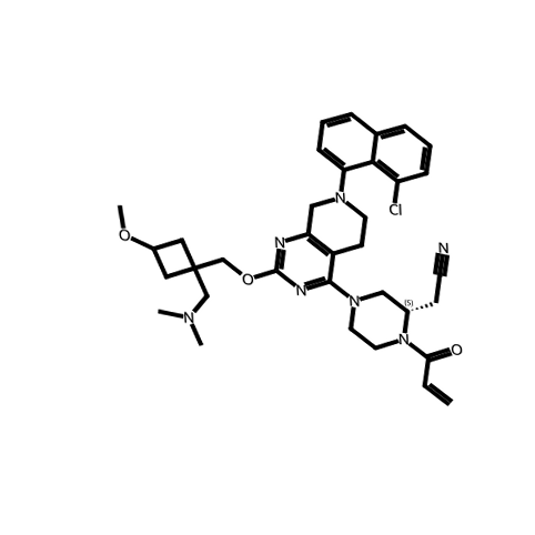 C=CC(=O)N1CCN(c2nc(OCC3(CN(C)C)CC(OC)C3)nc3c2CCN(c2cccc4cccc(Cl)c24)C3)C[C@@H]1CC#N